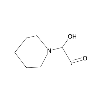 O=[C]C(O)N1CCCCC1